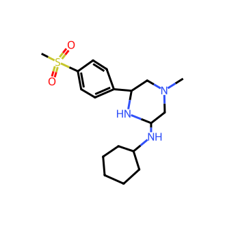 CN1CC(NC2CCCCC2)NC(c2ccc(S(C)(=O)=O)cc2)C1